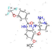 COc1ccc(NC(=O)c2cccc(OC(F)(F)F)c2)cc1Oc1ccnc(N)c1N